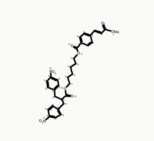 COC(=O)C=Cc1ccc(C(=O)OCCCCCCOC(=O)C(Cc2ccc([N+](=O)[O-])cc2)Cc2ccc([N+](=O)[O-])cc2)cc1